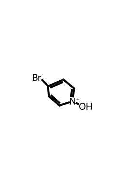 O[n+]1ccc(Br)cc1